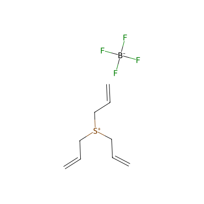 C=CC[S+](CC=C)CC=C.F[B-](F)(F)F